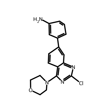 Nc1cccc(-c2ccc3c(N4CCOCC4)nc(Cl)nc3c2)c1